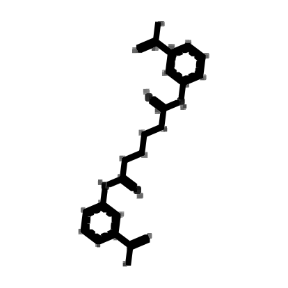 C=C(C)c1cccc(OC(=O)CCCCC(=O)Oc2cccc(C(=C)C)c2)c1